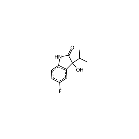 CC(C)C1(O)C(=O)Nc2ccc(F)cc21